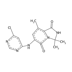 Cc1cc(Nc2cc(Cl)ncn2)c(=O)n2c1C(=O)NC2(C)C